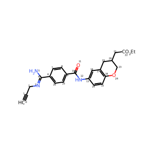 C#CCN=C(N)c1ccc(C(=O)Nc2ccc3c(c2)CC(CC(=O)OCC)CO3)cc1